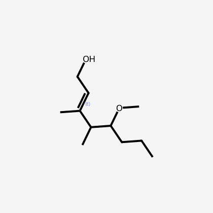 CCCC(OC)C(C)/C(C)=C/CO